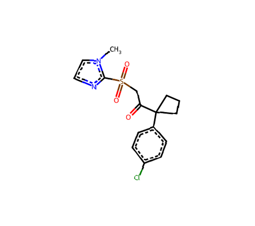 Cn1ccnc1S(=O)(=O)CC(=O)C1(c2ccc(Cl)cc2)CCC1